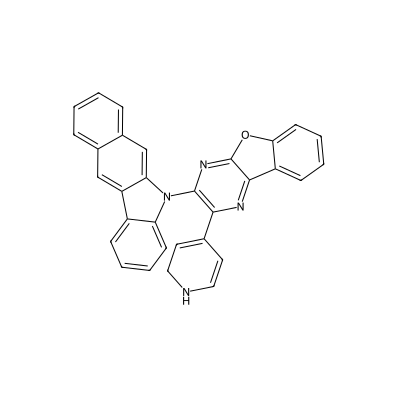 C1=CC(c2nc3c(nc2-n2c4ccccc4c4cc5ccccc5cc42)oc2ccccc23)=CCN1